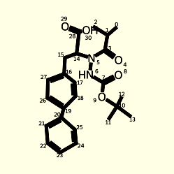 CC(C)C(=O)N(NC(=O)OC(C)(C)C)C(Cc1ccc(-c2ccccc2)cc1)C(=O)O